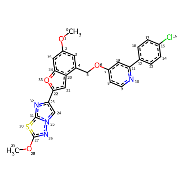 COc1cc(COc2ccnc(-c3ccc(Cl)cc3)c2)c2cc(-c3cn4nc(OC)sc4n3)oc2c1